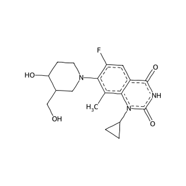 Cc1c(N2CCC(O)C(CO)C2)c(F)cc2c(=O)[nH]c(=O)n(C3CC3)c12